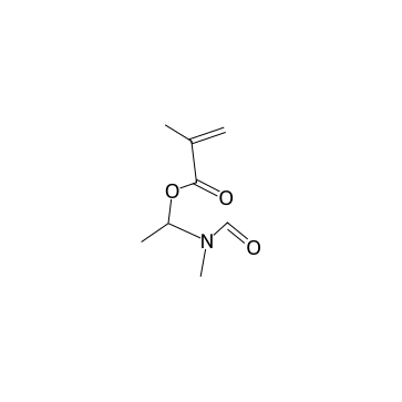 C=C(C)C(=O)OC(C)N(C)C=O